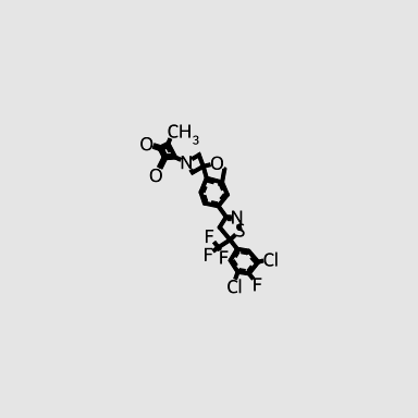 Cc1c(N2CC3(C2)OCc2cc(C4=NSC(c5cc(Cl)c(F)c(Cl)c5)(C(F)(F)F)C4)ccc23)c(=O)c1=O